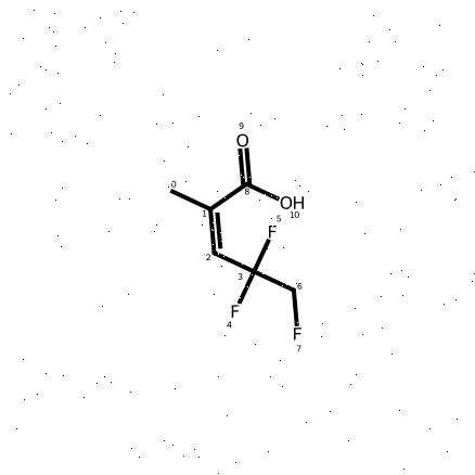 CC(=CC(F)(F)CF)C(=O)O